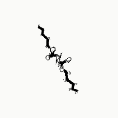 CCCCCOC(=O)N=NC(=O)OCCCCC